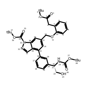 CC(C)(C)OC(=O)Cc1ccccc1OCc1cc(-c2cccc([C@@H](CO)NC(=O)OC(C)(C)C)c2)c2cnn(C(=O)OC(C)(C)C)c2c1